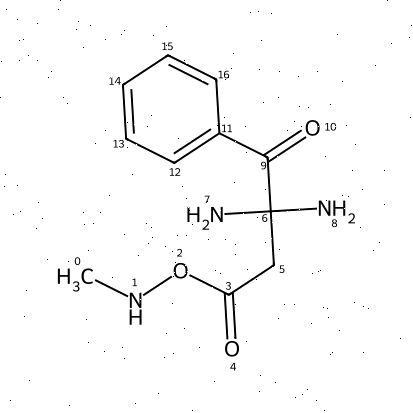 CNOC(=O)CC(N)(N)C(=O)c1ccccc1